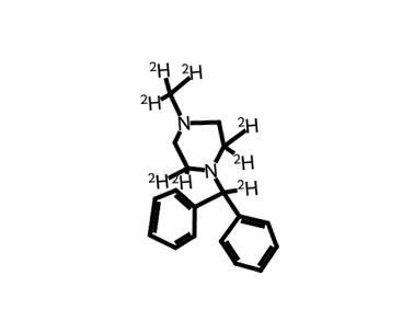 [2H]C([2H])([2H])N1CC([2H])([2H])N(C([2H])(c2ccccc2)c2ccccc2)C([2H])([2H])C1